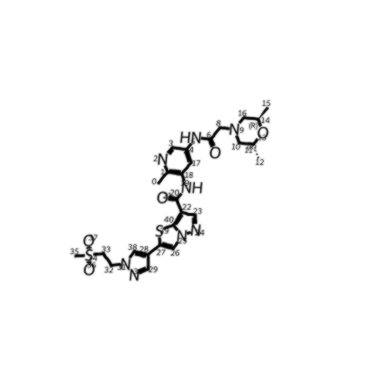 Cc1ncc(NC(=O)CN2C[C@@H](C)O[C@H](C)C2)cc1NC(=O)c1cnn2cc(-c3cnn(CCS(C)(=O)=O)c3)sc12